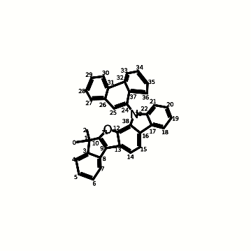 CC1(C)c2ccccc2-c2c1oc1c2ccc2c3ccccc3n(-c3cc4ccccc4c4ccccc34)c21